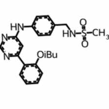 CC(C)COc1ccccc1-c1cc(Nc2ccc(CNS(C)(=O)=O)cc2)ncn1